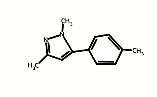 Cc1ccc(-c2cc(C)nn2C)cc1